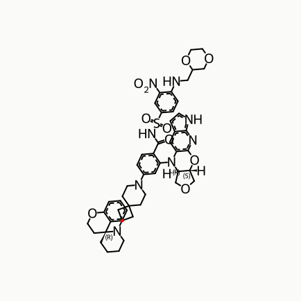 O=C(NS(=O)(=O)c1ccc(NCC2COCCO2)c([N+](=O)[O-])c1)c1ccc(N2CCC3(CC2)CC(N2CCCC[C@]24CCOc2ccccc24)C3)cc1N1c2cc3cc[nH]c3nc2O[C@@H]2COC[C@H]21